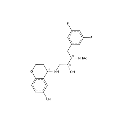 CC(=O)N[C@@H](Cc1cc(F)cc(F)c1)[C@H](O)CN[C@H]1CCOc2ccc(C#N)cc21